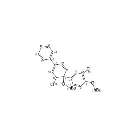 CCCCOc1ccc(C2(OCCCC)C=CC(c3ccccc3)=CC2Cl)cc1Cl